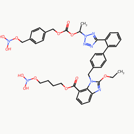 CCOc1nc2cccc(C(=O)OCCCCON(O)O)c2n1Cc1ccc(-c2ccccc2-c2nnn(C(C)OC(=O)OCc3ccc(CON(O)O)cc3)n2)cc1